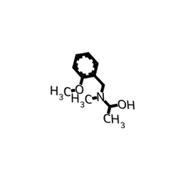 COc1ccccc1CN(C)C(C)O